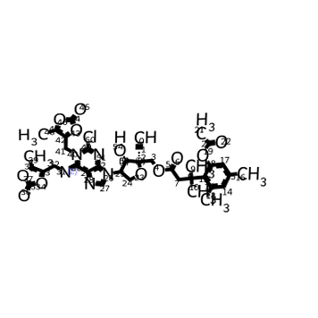 C#C[C@]1(COC(=O)CC(C)(C)c2c(C)cc(C)cc2OC(C)=O)OCC(n2cnc3/c(=N/Cc4oc(=O)oc4C)n(Cc4oc(=O)oc4C)c(Cl)nc32)[C@@H]1O